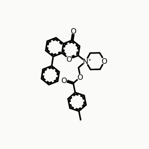 Cc1ccc(C(=O)OC[N+]2(c3cc(=O)c4cccc(-c5ccccc5)c4o3)CCOCC2)cc1